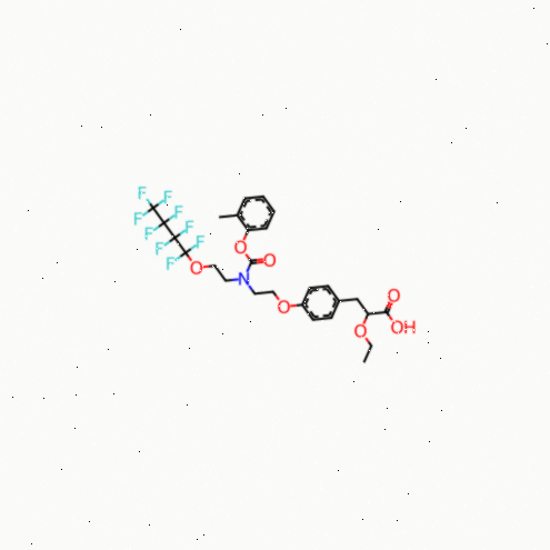 CCOC(Cc1ccc(OCCN(CCOC(F)(F)C(F)(F)C(F)(F)C(F)(F)F)C(=O)Oc2ccccc2C)cc1)C(=O)O